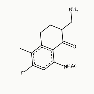 CC(=O)Nc1cc(F)c(C)c2c1C(=O)C(CN)CC2